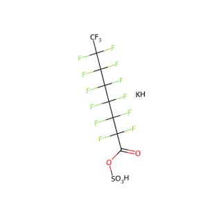 O=C(OS(=O)(=O)O)C(F)(F)C(F)(F)C(F)(F)C(F)(F)C(F)(F)C(F)(F)C(F)(F)F.[KH]